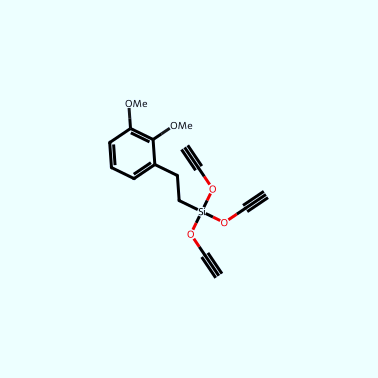 C#CO[Si](CCc1cccc(OC)c1OC)(OC#C)OC#C